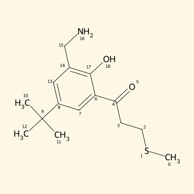 CSCCC(=O)c1cc(C(C)(C)C)cc(CN)c1O